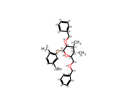 Cc1ccc(C(C)(C)C)cc1S[C@@H]1OC(COCc2ccccc2)[C@@H](C)[C@H](C)C1OCc1ccccc1